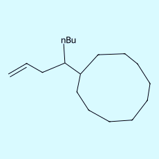 C=CCC(CCCC)C1CCCCCCCCC1